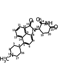 CN1CCC(c2ccc3c4c(cccc24)C(=O)N3C2CCC(=O)NC2=O)CC1